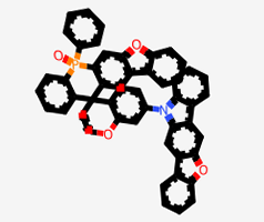 O=P1(c2ccccc2)c2ccccc2C2(c3ccccc3Oc3cc(-n4c5ccccc5c5cc6oc7ccccc7c6cc54)ccc32)c2cc3c(cc21)oc1ccccc13